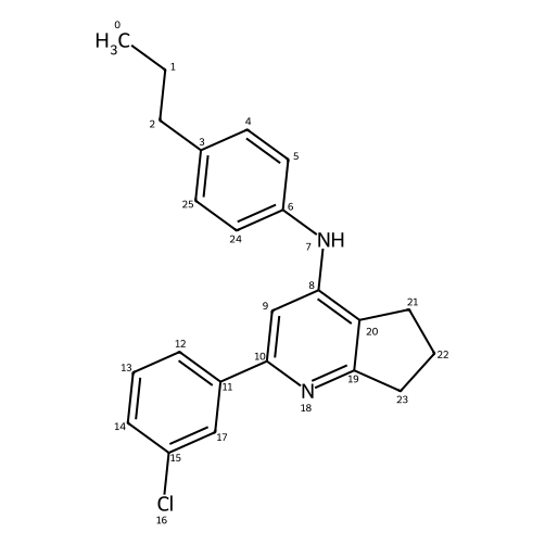 CCCc1ccc(Nc2cc(-c3cccc(Cl)c3)nc3c2CCC3)cc1